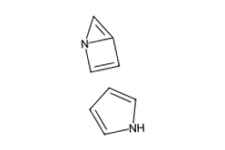 c1cc[nH]c1.c1cn2cc1-2